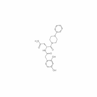 NC(=O)C[C@H](NC(=O)Cc1ccc(O)cc1O)C(=O)N1CCN(c2ccccc2)CC1